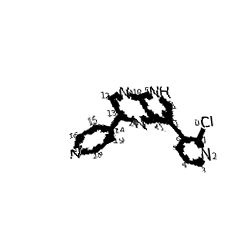 Clc1ncccc1-c1c[nH]c2ncc(-c3ccncc3)nc12